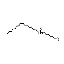 CCCCCCCC/C=C\CCCCCCCC(=O)NCCCCCCOC